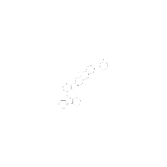 O=c1c2cc(-c3cccnc3)ccc2oc2cc3c(cc12)sc1c(-n2c4ccccc4c4ccccc42)cccc13